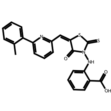 Cc1ccccc1-c1cccc(/C=C2/SC(=S)N(Nc3ccccc3C(=O)O)C2=O)n1